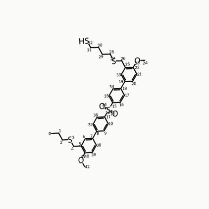 CCCSCc1cc(-c2ccc(S(=O)(=O)c3ccc(-c4ccc(OC)c(CSCCCCS)c4)cc3)cc2)ccc1OC